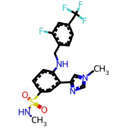 CNS(=O)(=O)c1ccc(NCc2ccc(C(F)(F)F)cc2F)c(-c2cn(C)cn2)c1